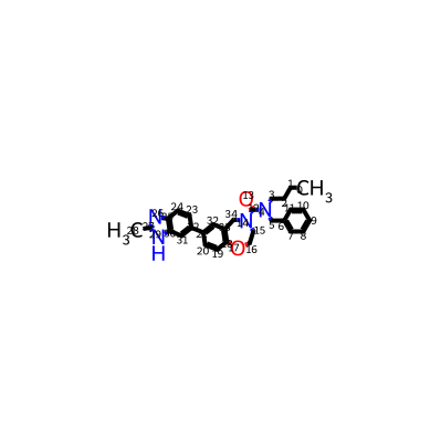 CCCCN(Cc1ccccc1)C(=O)N1CCOc2ccc(-c3ccc4nc(C)[nH]c4c3)cc2C1